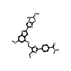 CCc1sc(-c2ccc(C(=O)N(C)C)cc2)nc1COc1cc(OC)cc2oc(-c3cn4c(n3)SC(OC)N4)cc12